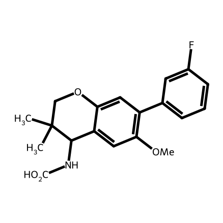 COc1cc2c(cc1-c1cccc(F)c1)OCC(C)(C)C2NC(=O)O